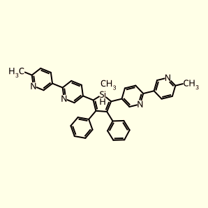 Cc1ccc(-c2ccc(C3=C(c4ccccc4)C(c4ccccc4)=C(c4ccc(-c5ccc(C)nc5)nc4)[SiH]3C)cn2)cn1